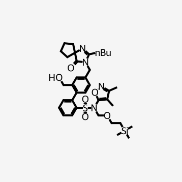 CCCCC1=NC2(CCCC2)C(=O)N1Cc1ccc(-c2ccccc2S(=O)(=O)N(COCC[Si](C)(C)C)c2onc(C)c2C)c(CO)c1